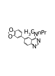 CCCN(C)c1ncnc2ccc(-c3ccc4c(c3)OCO4)cc12